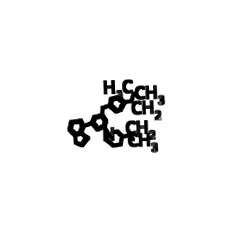 C=C(c1ccc(Cc2cc(-c3cccc4c3C=CC4)cc(N3CCCC(C(=C)C)C3)c2)cc1)C(C)C